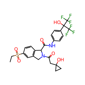 CCS(=O)(=O)c1ccc2c(c1)CN(C(=O)CC1(O)CC1)C2C(=O)Nc1ccc(C(O)(C(F)(F)F)C(F)(F)F)cc1